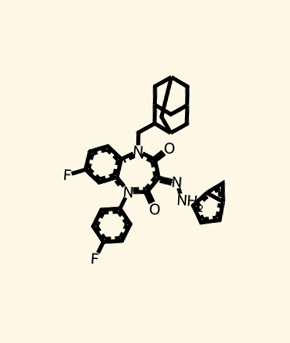 NN=c1c(=O)n(CC2C3CC4CC(C3)CC2C4)c2ccc(F)cc2n(-c2ccc(F)cc2)c1=O.c1cc2cc-2c1